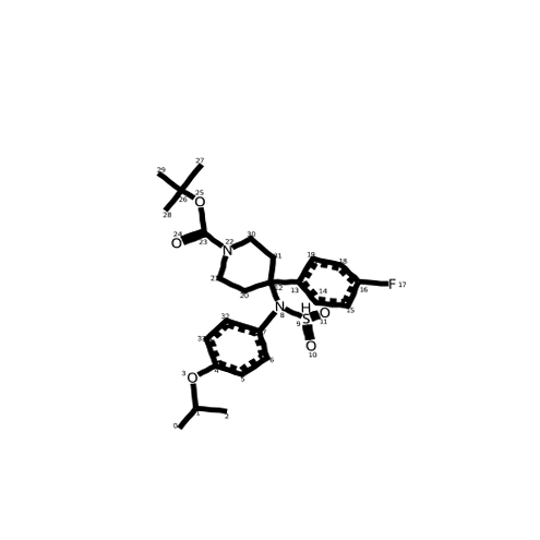 CC(C)Oc1ccc(N([SH](=O)=O)C2(c3ccc(F)cc3)CCN(C(=O)OC(C)(C)C)CC2)cc1